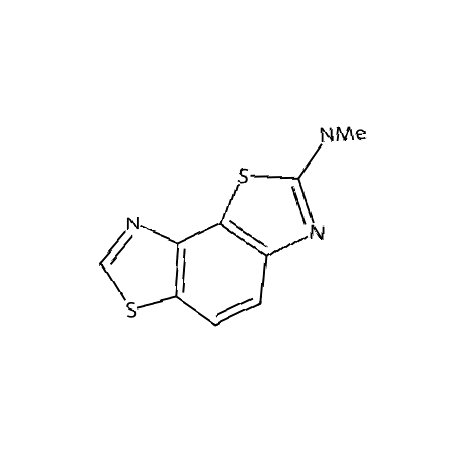 CNc1nc2ccc3scnc3c2s1